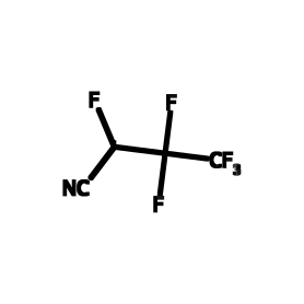 N#C[C](F)C(F)(F)C(F)(F)F